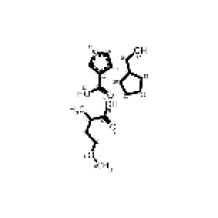 COCCC(C)C(=O)O.O=C(O)c1ccsc1.OCC1CCCC1